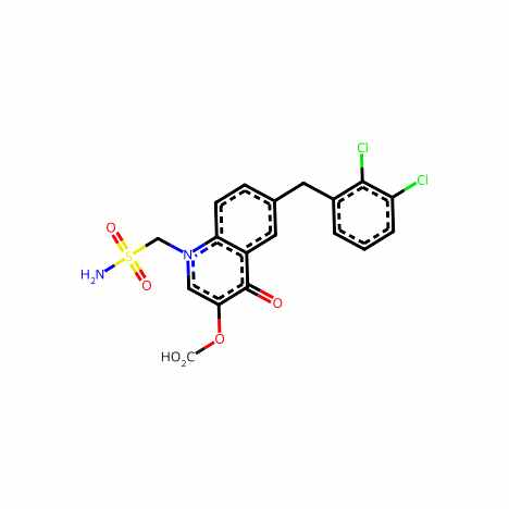 NS(=O)(=O)Cn1cc(OC(=O)O)c(=O)c2cc(Cc3cccc(Cl)c3Cl)ccc21